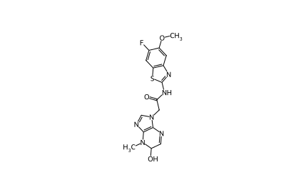 COc1cc2nc(NC(=O)Cn3cnc4c3N=CC(O)N4C)sc2cc1F